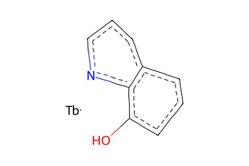 Oc1cccc2cccnc12.[Tb]